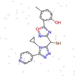 Cc1ccc(O)c(-c2nc(C(S)c3nnc(-c4ccncc4)n3C3CC3)no2)c1